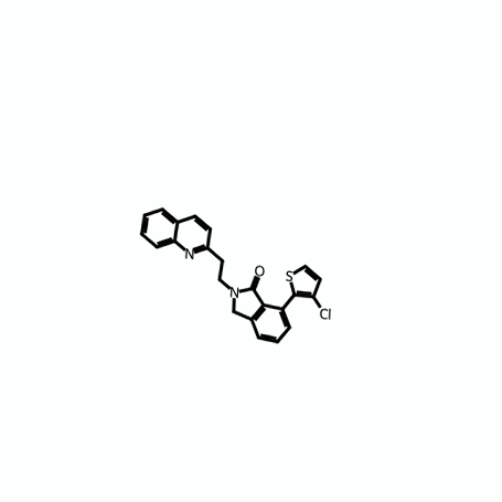 O=C1c2c(cccc2-c2sccc2Cl)CN1CCc1ccc2ccccc2n1